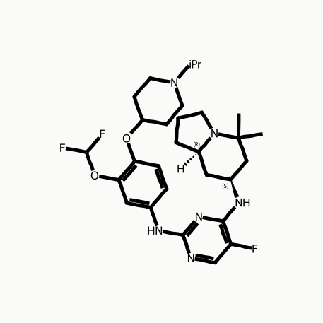 CC(C)N1CCC(Oc2ccc(Nc3ncc(F)c(N[C@H]4C[C@H]5CCCN5C(C)(C)C4)n3)cc2OC(F)F)CC1